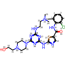 Cc1cccc(Cl)c1NC(=O)c1cnc(Nc2nc(NCCN(C)C)nc(N3CCN(CCO)CC3)n2)s1